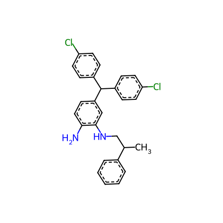 CC(CNc1cc(C(c2ccc(Cl)cc2)c2ccc(Cl)cc2)ccc1N)c1ccccc1